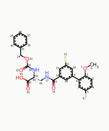 COc1ccc(F)cc1-c1cc(F)cc(C(=O)NC[C@@H](NC(=O)OCc2ccccc2)C(=O)O)c1